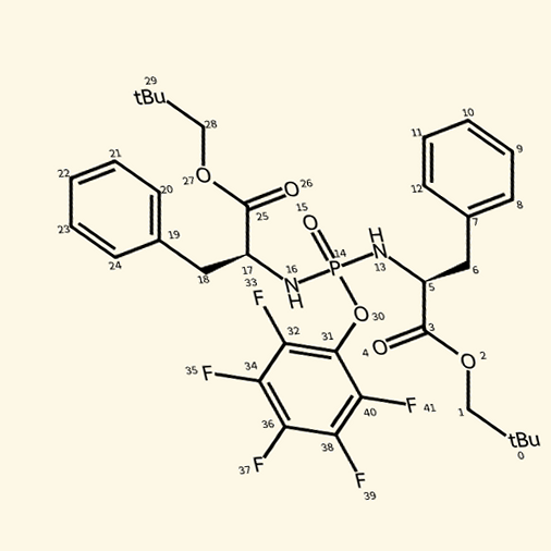 CC(C)(C)COC(=O)[C@H](Cc1ccccc1)NP(=O)(N[C@@H](Cc1ccccc1)C(=O)OCC(C)(C)C)Oc1c(F)c(F)c(F)c(F)c1F